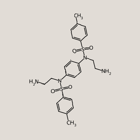 Cc1ccc(S(=O)(=O)N(CCN)c2[c]cc(N(CCN)S(=O)(=O)c3ccc(C)cc3)cc2)cc1